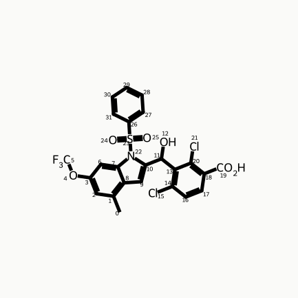 Cc1cc(OC(F)(F)F)cc2c1cc(C(O)c1c(Cl)ccc(C(=O)O)c1Cl)n2S(=O)(=O)c1ccccc1